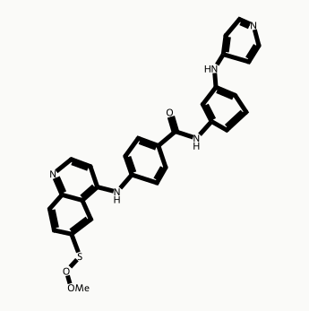 COOSc1ccc2nccc(Nc3ccc(C(=O)Nc4cccc(Nc5ccncc5)c4)cc3)c2c1